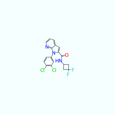 O=C(NC1CC(F)(F)C1)c1cc2cccnc2n1-c1ccc(Cl)c(Cl)c1